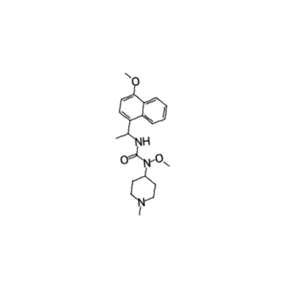 COc1ccc(C(C)NC(=O)N(OC)C2CCN(C)CC2)c2ccccc12